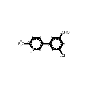 O=Cc1cc(Cl)cc(-c2ccc(C(F)(F)F)nc2)c1